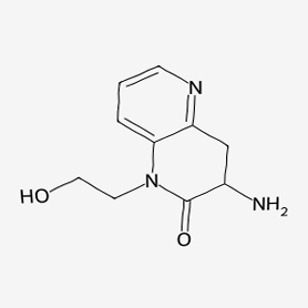 NC1Cc2ncccc2N(CCO)C1=O